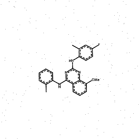 COc1cccc2c(Nc3ccccc3C)nc(Nc3ccc(F)cc3C)nc12